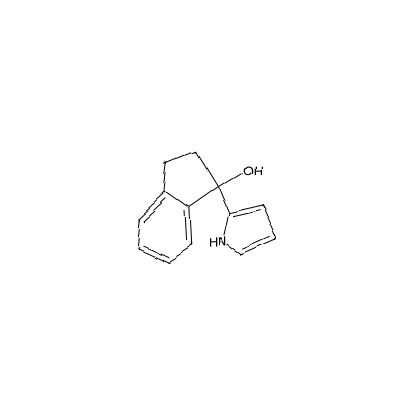 OC1(c2ccc[nH]2)CCc2ccccc21